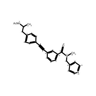 CC(=O)NC(C)Cc1ccc(C#Cc2cccc(C(=O)N(C)Cc3ccncc3)c2)cc1